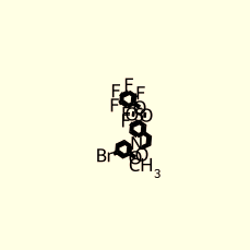 COc1cc(Br)ccc1-n1c(=O)ccc2cc(S(=O)(=O)Oc3c(F)c(F)c(F)c(F)c3F)c(F)cc21